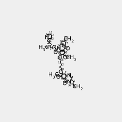 C=C1CC2C=Nc3cc(OCCCCCOc4cc5c(cc4OC)C(=O)N4CC(=C)CC4CN5C(=O)OC[C@@H](C)SSc4ccccn4)c(OC)cc3C(=O)N2C1